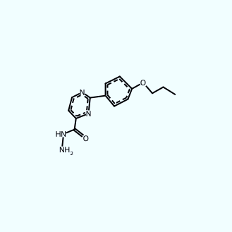 CCCOc1ccc(-c2nccc(C(=O)NN)n2)cc1